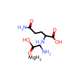 NC(=O)CCC(N)C(=O)O.NCC(=O)O.[MgH2]